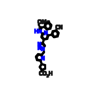 COC[C@@H](Nc1cc(-c2cn(Cc3cccc(C4CC[C@H](C(=O)O)C4)n3)nn2)cc(-c2cccc(C#N)c2)n1)c1ccccc1